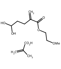 C=C(C)C(=O)O.C=C(CCC(O)O)C(=O)OCCOC